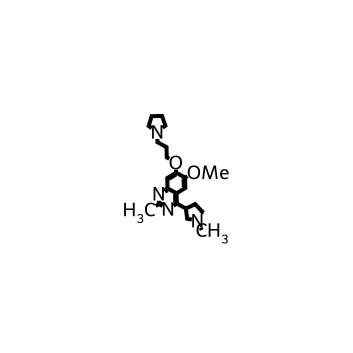 COc1cc2c(C3CCN(C)C3)nc(C)nc2cc1OCCCN1CCCC1